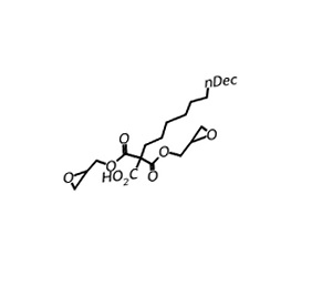 CCCCCCCCCCCCCCCCC(C(=O)O)(C(=O)OCC1CO1)C(=O)OCC1CO1